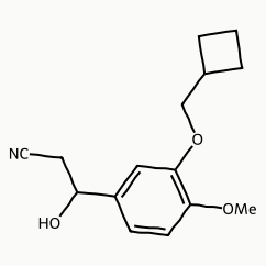 COc1ccc(C(O)CC#N)cc1OCC1CCC1